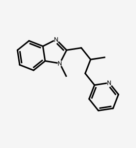 CC(Cc1ccccn1)Cc1nc2ccccc2n1C